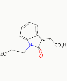 CC(=O)OCCN1C(=O)C(=CC(=O)O)c2ccccc21